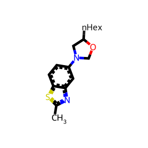 CCCCCCC1CN(c2ccc3sc(C)nc3c2)CO1